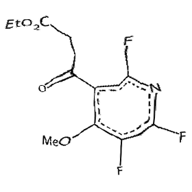 CCOC(=O)CC(=O)c1c(F)nc(F)c(F)c1OC